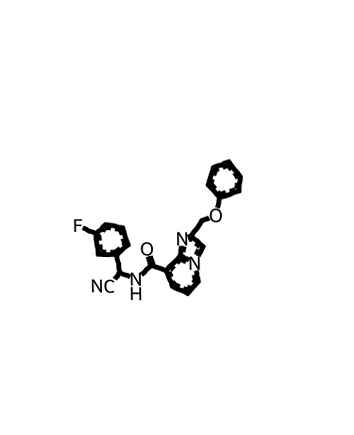 N#CC(NC(=O)c1cccn2cc(COc3ccccc3)nc12)c1cccc(F)c1